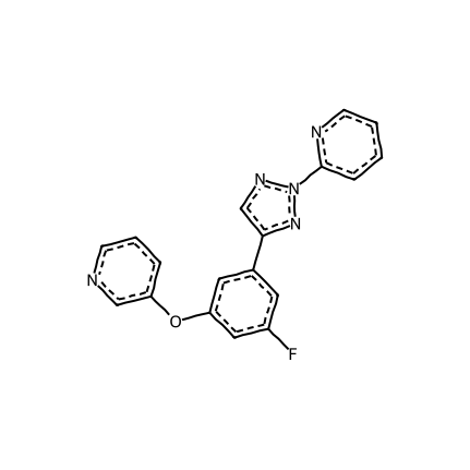 Fc1cc(Oc2cccnc2)cc(-c2cnn(-c3ccccn3)n2)c1